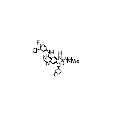 CNNC(=O)Nc1cc2c(Nc3ccc(F)c(Cl)c3)ncnc2cc1OC1CCOC1